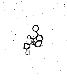 O=C1c2c3ccc(C4CCCCC4)c2C(=O)N(c2cccc(Cl)c2)C1C=C3